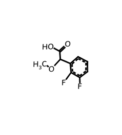 COC(C(=O)O)c1cccc(F)c1F